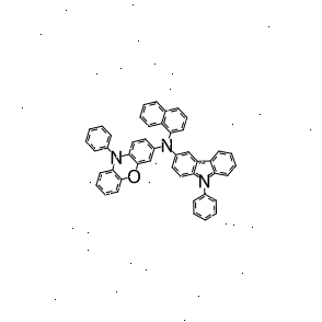 c1ccc(N2c3ccccc3Oc3cc(N(c4ccc5c(c4)c4ccccc4n5-c4ccccc4)c4cccc5ccccc45)ccc32)cc1